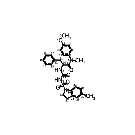 COc1ccc(N(C)C(=O)[C@H](Cc2ccccc2)NC(=O)NS(=O)(=O)N2CCc3cc(C)ccc32)cc1